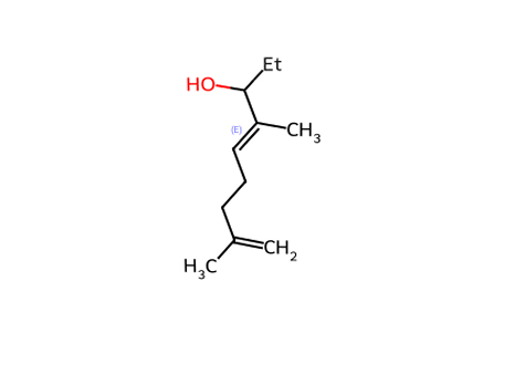 C=C(C)CC/C=C(\C)C(O)CC